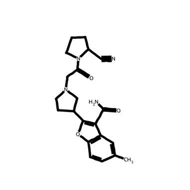 Cc1ccc2oc(C3CCN(CC(=O)N4CCCC4C#N)C3)c(C(N)=O)c2c1